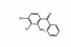 CCc1ccc(C(=O)c2ccccc2)c(N)c1CC